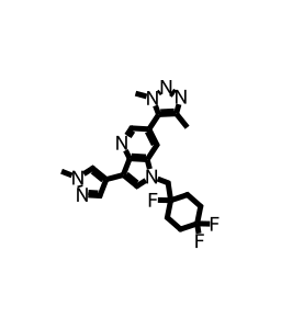 Cc1nnn(C)c1-c1cnc2c(-c3cnn(C)c3)cn(CC3(F)CCC(F)(F)CC3)c2c1